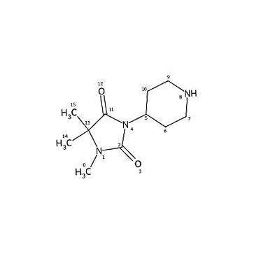 CN1C(=O)N(C2CCNCC2)C(=O)C1(C)C